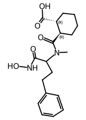 CN(C(=O)[C@@H]1CCCC[C@H]1C(=O)O)C(CCc1ccccc1)C(=O)NO